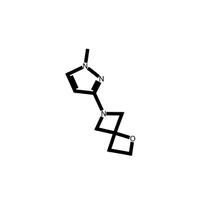 Cn1ccc(N2CC3(CCO3)C2)n1